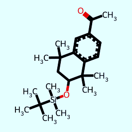 CC(=O)c1ccc2c(c1)C(C)(C)CC(O[Si](C)(C)C(C)(C)C)C2(C)C